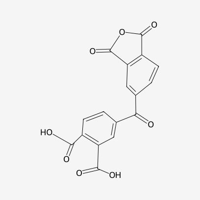 O=C(c1ccc(C(=O)O)c(C(=O)O)c1)c1ccc2c(c1)C(=O)OC2=O